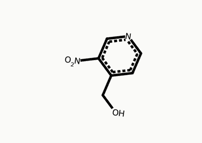 O=[N+]([O-])c1cnccc1CO